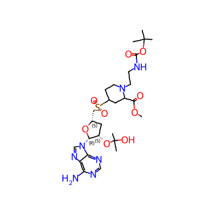 COC(=O)C1CC(S(=O)(=O)C[C@@H]2C[C@H](OC(C)(C)O)[C@H](n3cnc4c(N)ncnc43)O2)CCN1CCNC(=O)OC(C)(C)C